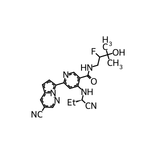 CC[C@H](C#N)Nc1cc(-c2ccc3cc(C#N)cnn23)ncc1C(=O)NCC(F)C(C)(C)O